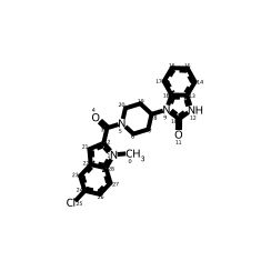 Cn1c(C(=O)N2CCC(n3c(=O)[nH]c4ccccc43)CC2)cc2cc(Cl)ccc21